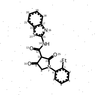 CCc1ccccc1N1CC(=O)C(C(=O)Nc2nc3ccccc3s2)C1=O